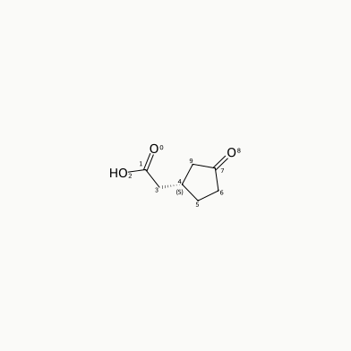 O=C(O)C[C@H]1CCC(=O)C1